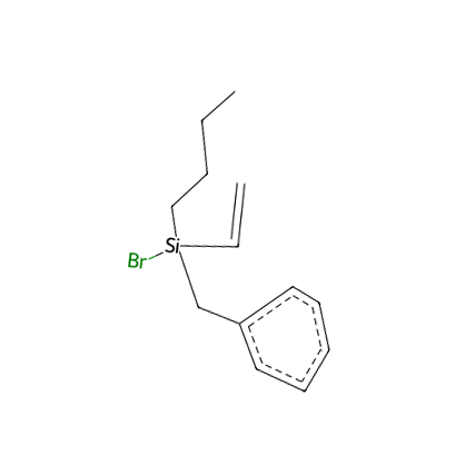 C=C[Si](Br)(CCCC)Cc1ccccc1